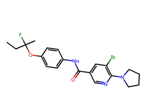 CCC(C)(F)Oc1ccc(NC(=O)c2cnc(N3CCCC3)c(Br)c2)cc1